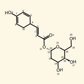 O=C(/C=C/C1C=CC(O)=CC1)O[C@H]1CC(O)[C@H](O)C(CO)O1